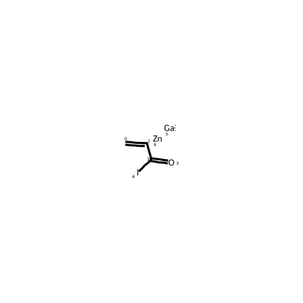 C=CC(=O)I.[Ga].[Zn]